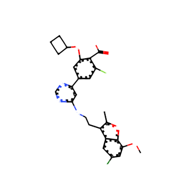 COc1cc(Cl)cc2c(CCNc3cc(-c4cc(F)c(C(=O)O)c(OC5CCC5)c4)ncn3)c(C)oc12